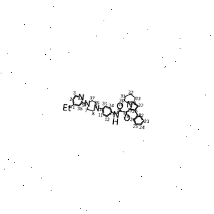 CCc1ccnc(N2CCN(c3ccc(NC(=O)C(=O)c4c(-c5ccccc5)cc5n4CCCC5)cc3)CC2)c1